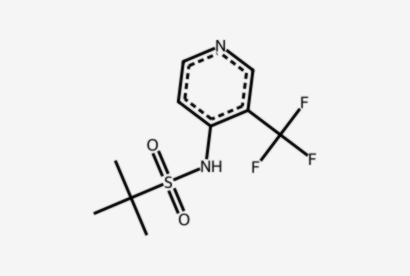 CC(C)(C)S(=O)(=O)Nc1ccncc1C(F)(F)F